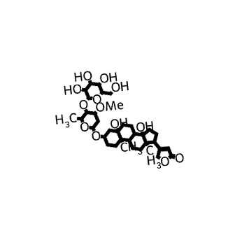 COC1CC(OC2CCC3(C)C4CCC5(C)C(C6=CC(=O)OC6)CCC5(O)C4CCC3(O)C2)OC(C)C1OC1OC(CO)C(O)C(O)C1O